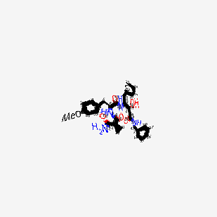 COc1ccc(C[C@H](NC(=O)C2(C(N)=O)CC2)C(=O)NC(Cc2ccccc2)[C@H](O)C(=O)NCc2ccccc2)cc1